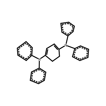 C1=C(N(c2ccccc2)c2ccccc2)CCC(N(c2ccccc2)c2ccccc2)=C1